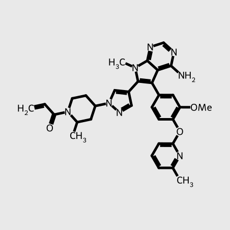 C=CC(=O)N1CCC(n2cc(-c3c(-c4ccc(Oc5cccc(C)n5)c(OC)c4)c4c(N)ncnc4n3C)cn2)CC1C